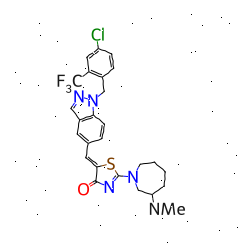 CNC1CCCCN(C2=NC(=O)/C(=C/c3ccc4c(cnn4Cc4ccc(Cl)cc4C(F)(F)F)c3)S2)C1